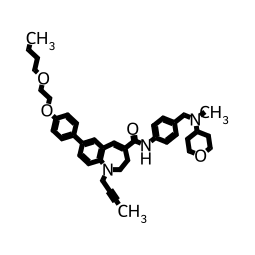 CC#CCN1CCC(C(=O)Nc2ccc(CN(C)C3CCOCC3)cc2)=Cc2cc(-c3ccc(OCCOCCCC)cc3)ccc21